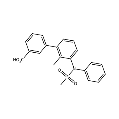 Cc1c(-c2cccc(C(=O)O)c2)cccc1N(c1ccccc1)S(C)(=O)=O